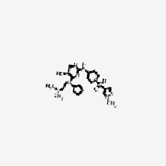 CN(C)CCN(c1nc(NC2CCN(S(=O)(=O)c3cnn(C)c3)CC2)ncc1C#N)C1CCCC1